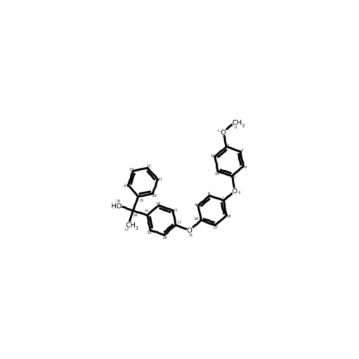 COc1ccc(Oc2ccc(Oc3ccc(C(C)(O)c4ccccc4)cc3)cc2)cc1